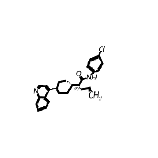 C=CC[C@@H](C(=O)Nc1ccc(Cl)cc1)[C@H]1CC[C@H](c2ccnc3ccccc32)CC1